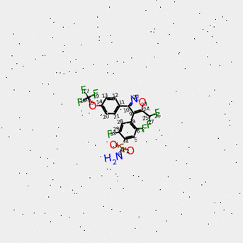 NS(=O)(=O)c1cc(F)c(-c2c(-c3ccc(OC(F)(F)F)cc3)noc2C(F)F)cc1F